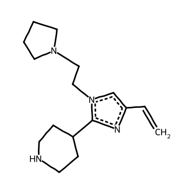 C=Cc1cn(CCN2CCCC2)c(C2CCNCC2)n1